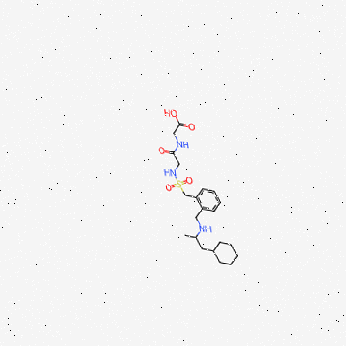 CC(CC1CCCCC1)NCc1ccccc1CS(=O)(=O)NCC(=O)NCC(=O)O